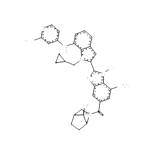 COc1cc(C(=O)N2CC3CCC2[C@@H]3C)cc2nc(-c3cc4cccc(Nc5ccnc(C)c5)c4n3CC3CC3)n(C)c12